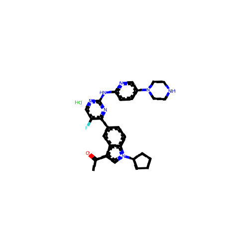 CC(=O)c1cn(C2CCCC2)c2ccc(-c3nc(Nc4ccc(N5CCNCC5)cn4)ncc3F)cc12.Cl